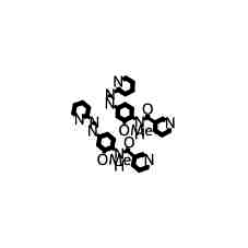 COc1cc(/N=N/c2ccccn2)ccc1NC(=O)c1cccnc1.COc1cc(/N=N\c2ccccn2)ccc1NC(=O)c1cccnc1